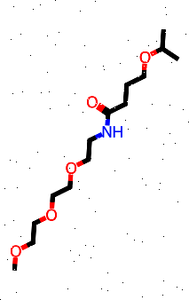 COCCOCCOCCNC(=O)CCCOC(C)C